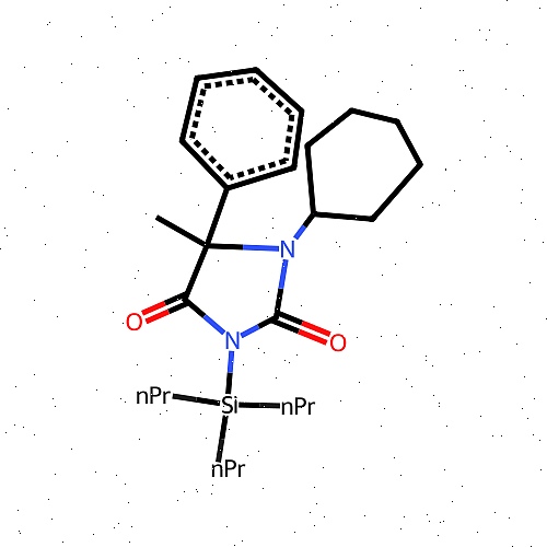 CCC[Si](CCC)(CCC)N1C(=O)N(C2CCCCC2)C(C)(c2ccccc2)C1=O